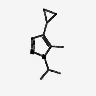 Cc1c(C2CC2)cnn1C(C)C